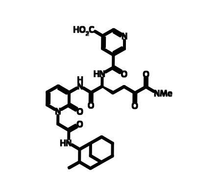 CNC(=O)C(=O)CC[C@H](NC(=O)c1cncc(C(=O)O)c1)C(=O)Nc1cccn(CC(=O)NC2C(C)CC3CCCC2C3)c1=O